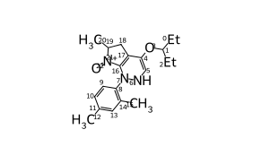 CCC(CC)OC1=CNN(c2ccc(C)cc2C)C2=C1CC(C)[N+]2=O